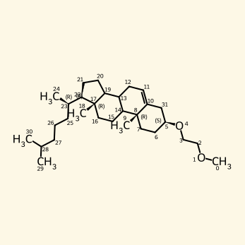 COCCO[C@H]1CC[C@@]2(C)C(=CCC3C2CC[C@@]2(C)C3CC[C@@H]2[C@H](C)CCCC(C)C)C1